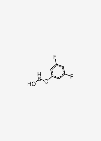 OBOc1cc(F)cc(F)c1